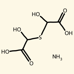 N.O=C(O)C(O)SC(O)C(=O)O